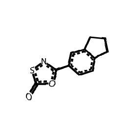 O=c1oc(-c2ccc3c(c2)CCC3)ns1